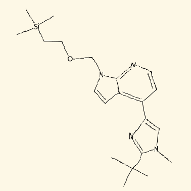 Cn1cc(-c2ccnc3c2ccn3COCC[Si](C)(C)C)nc1C(C)(C)C